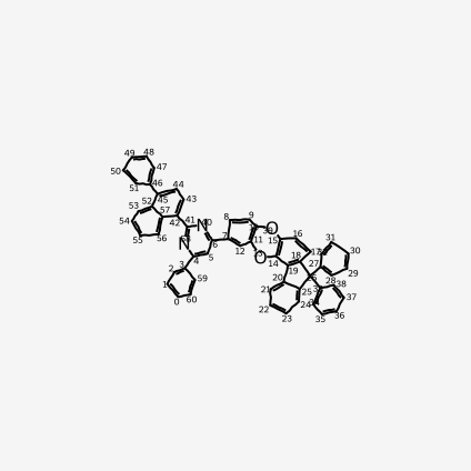 c1ccc(-c2cc(-c3ccc4c(c3)Oc3c(ccc5c3-c3ccccc3C5(c3ccccc3)c3ccccc3)O4)nc(-c3ccc(-c4ccccc4)c4ccccc34)n2)cc1